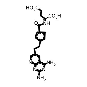 Nc1nc(N)c2cc(CCc3ccc(C(=O)N[C@@H](CCC(=O)O)C(=O)O)cc3)cnc2n1